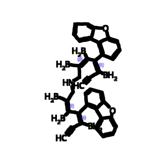 B/C(CNC/C(B)=C(B)\C(=C(\B)C#C)c1cccc2oc3ccccc3c12)=C(B)/C(=C(/B)C#C)c1cccc2oc3ccccc3c12